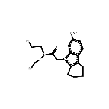 COc1ccc2c3c(n(CC(=O)N(CCC(C)C)CCC(C)C)c2c1)CCCC3